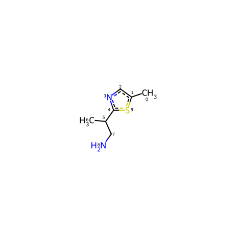 Cc1cnc(C(C)CN)s1